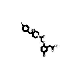 O=C(O)Cc1cc(Br)ccc1OCC(=O)N1CCC(O)(Cc2ccc(F)cc2)CC1